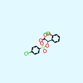 O=C(O)[C@H](OS(=O)(=O)c1ccc(Cl)cc1)c1ccccc1Cl